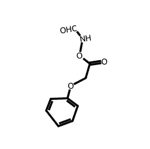 O=CNOC(=O)COc1ccccc1